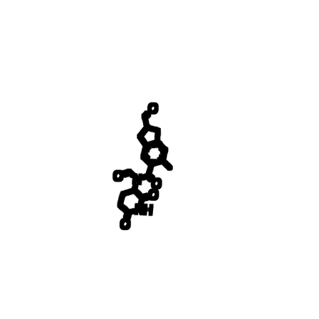 Cc1cc2c(cc1C(=O)N(C=O)C1CCC(=O)NC1=O)CC(C=O)C2